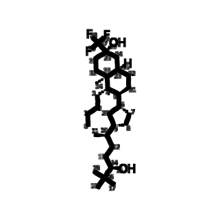 CCCC[C@H]1[C@H]([C@@H]2CC[C@H]([C@H](C)CC[C@@H](O)C(C)(C)C)C2)CC[C@@H]2C[C@](O)(C(F)(F)F)CC[C@@]21C